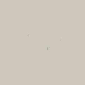 CCCCCC[Si](Cl)(Cl)I